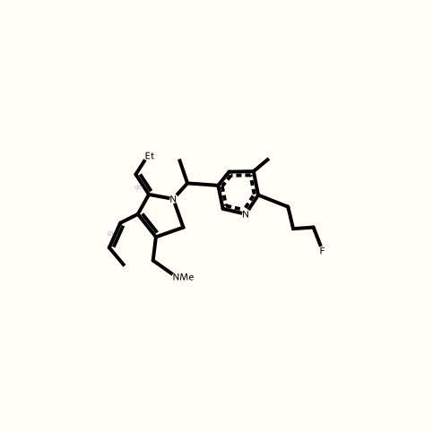 C/C=C\C1=C(CNC)CN(C(C)c2cnc(CCCF)c(C)c2)/C1=C\CC